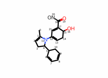 CC1=CCC(C2C=CC=CC2)N1C1=CCC(O)C(C(=O)N=O)=C1